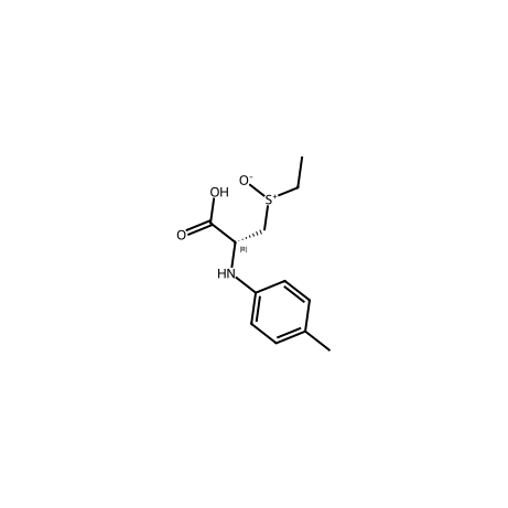 CC[S+]([O-])C[C@H](Nc1ccc(C)cc1)C(=O)O